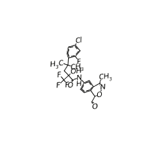 CC1=NOC(C=O)c2ccc(NC(=O)C(O)(CC(C)(C)c3ccc(Cl)cc3F)C(F)(F)F)cc21